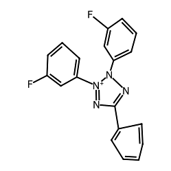 Fc1cccc(-n2nc(-c3ccccc3)n[n+]2-c2cccc(F)c2)c1